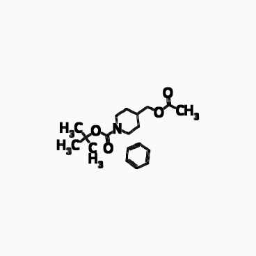 CC(=O)OCC1CCN(C(=O)OC(C)(C)C)CC1.c1ccccc1